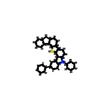 c1ccc(-c2ccc3c(c2)c2c4sc5c6c(ccc5c4ccc2n3-c2ccccc2)Cc2ccccc2-6)cc1